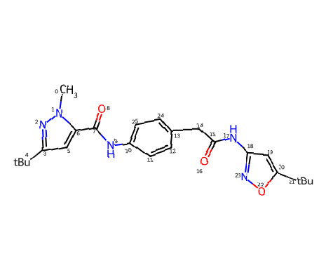 Cn1nc(C(C)(C)C)cc1C(=O)Nc1ccc(CC(=O)Nc2cc(C(C)(C)C)on2)cc1